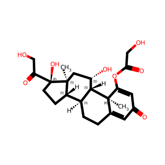 C[C@@]12C(=CC(=O)C=C1OC(=O)CO)CC[C@@H]1[C@@H]2[C@@H](O)C[C@@]2(C)[C@H]1CC[C@]2(O)C(=O)CO